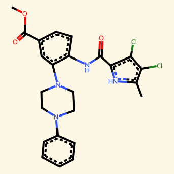 COC(=O)c1ccc(NC(=O)c2[nH]c(C)c(Cl)c2Cl)c(N2CCN(c3ccccc3)CC2)c1